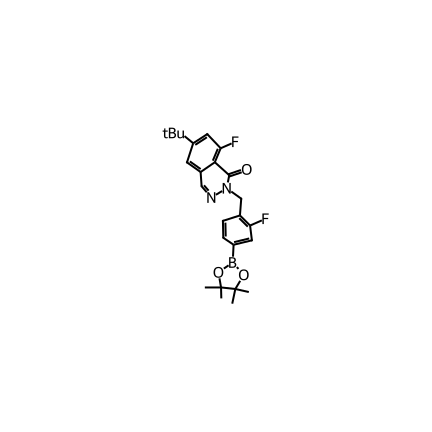 CC(C)(C)c1cc(F)c2c(=O)n(Cc3ccc(B4OC(C)(C)C(C)(C)O4)cc3F)ncc2c1